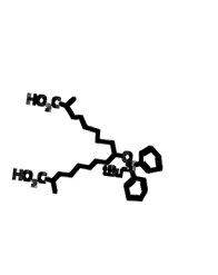 CC(CCCCCCC(CCCCCCC(C)C(=O)O)O[Si](c1ccccc1)(c1ccccc1)C(C)(C)C)C(=O)O